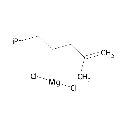 [CH2]C(C)CCCC(=C)C.[Cl][Mg][Cl]